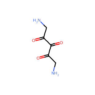 NCC(=O)C(=O)C(=O)CN